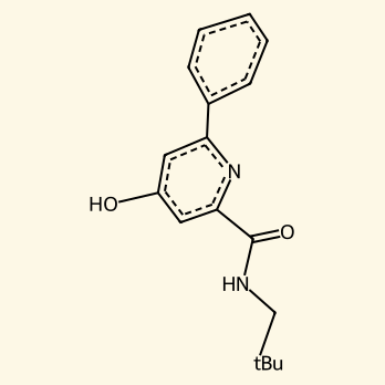 CC(C)(C)CNC(=O)c1cc(O)cc(-c2ccccc2)n1